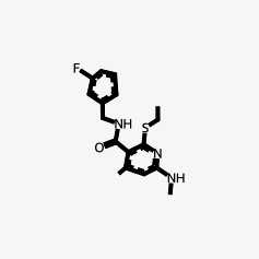 CCSc1nc(NC)cc(C)c1C(=O)NCc1cccc(F)c1